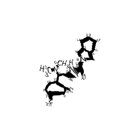 CN(C)C(CNC(=O)n1cc2ccccc2c1)c1ccc(F)cc1Cl